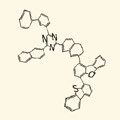 C1=C(c2ccc(-c3cccc4c3sc3ccccc34)c3oc4ccccc4c23)CCc2ccc(-c3nc(-c4cccc(-c5ccccc5)c4)nc(-c4ccc5ccccc5c4)n3)cc21